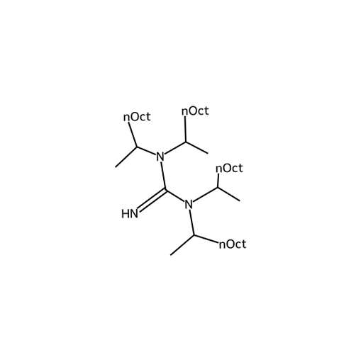 CCCCCCCCC(C)N(C(=N)N(C(C)CCCCCCCC)C(C)CCCCCCCC)C(C)CCCCCCCC